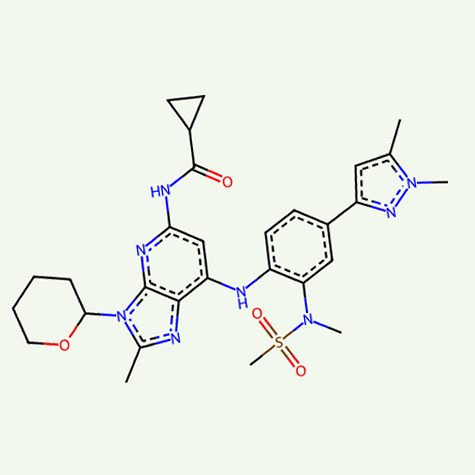 Cc1cc(-c2ccc(Nc3cc(NC(=O)C4CC4)nc4c3nc(C)n4C3CCCCO3)c(N(C)S(C)(=O)=O)c2)nn1C